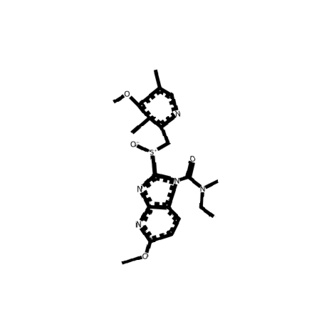 [CH2]CN(C)C(=O)n1c([S+]([O-])Cc2ncc(C)c(OC)c2C)nc2nc(OC)ccc21